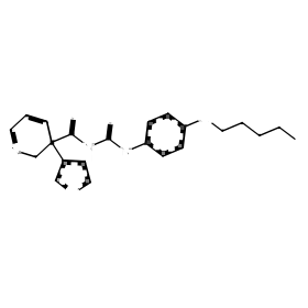 CCCCCOc1ccc(NC(=S)NC(=O)C2(c3ccoc3)C=CC=NC2)cc1